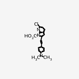 CN(C)c1ccc(C#Cc2cc3ccc(Cl)nc3n2C(=O)O)cc1